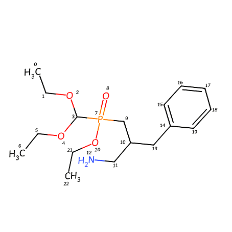 CCOC(OCC)P(=O)(CC(CN)Cc1ccccc1)OCC